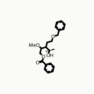 COC(COC(=O)c1ccccc1)C(CCOCc1ccccc1)[C@@H](C)O